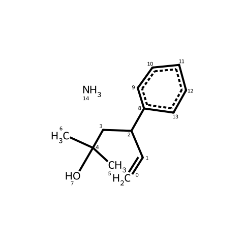 C=CC(CC(C)(C)O)c1ccccc1.N